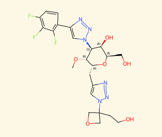 CO[C@@H]1[C@@H](n2cc(-c3ccc(F)c(F)c3F)nn2)[C@@H](O)[C@@H](CO)O[C@@H]1Cc1cn(C2(CCO)COC2)nn1